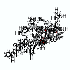 CC(C)C[C@H](NC(=O)[C@H](Cc1c[nH]cn1)NC(=O)[C@H](Cc1c[nH]c2ccccc12)NC(=O)CNC(=O)[C@H](Cc1c[nH]c2ccccc12)NC(=O)CN)C(=O)N[C@@H](CO)C(=O)N[C@@H](Cc1c[nH]cn1)C(=O)N[C@@H](Cc1c[nH]cn1)C(=O)N[C@@H](CCC(=O)O)C(=O)N1CCC[C@H]1C(=O)N[C@@H](CCCNC(=N)N)C(=O)N[C@@H](CCCCN)C(=O)NCC(=O)N[C@@H](C)C(=O)N[C@@H](Cc1ccccc1)C(=O)O